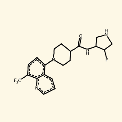 O=C(NC1CNCC1F)C1CCN(c2ccc(C(F)(F)F)c3ncccc23)CC1